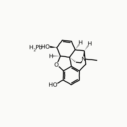 CN1CC[C@]23c4c5ccc(O)c4O[C@H]2[C@@H](O)C=C[C@H]3[C@H]1C5.[PbH2]